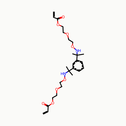 C=CC(=O)OCCOCCONC(C)(C)c1cccc(C(C)(C)NOCCOCCOC(=O)C=C)c1